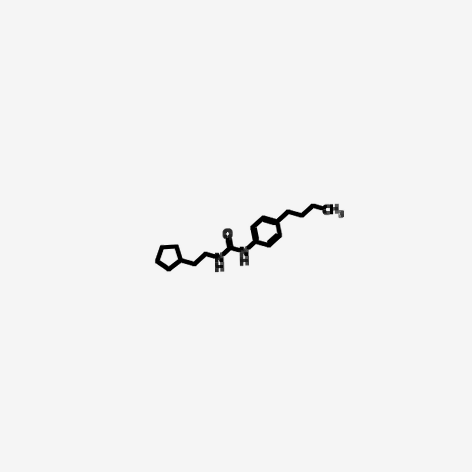 CCCCc1ccc(NC(=O)NCCC2CCCC2)cc1